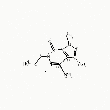 Cc1nn(C)c2c(=O)n(CCO)nc(N)c12